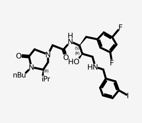 CCCCN1C(=O)CN(CC(=O)N[C@@H](Cc2cc(F)cc(F)c2)[C@H](O)CNCc2cccc(I)c2)C[C@H]1C(C)C